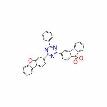 O=S1(=O)c2ccccc2-c2cc(-c3nc(-c4ccccc4)nc(-c4ccc5c(c4)oc4ccccc45)n3)ccc21